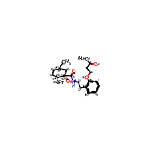 COC(=O)CCOc1ccccc1CCNC(=O)[C@]1(O)C[C@H](C)CC[C@H]1C(C)C